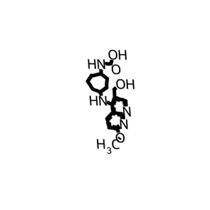 COc1ccc2c(NC3CCCC(NC(=O)O)CC3)c(CO)cnc2n1